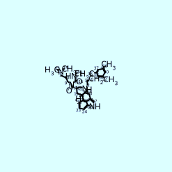 C=CCN1C[C@H](C(=O)N(CCCN(C)C)C(=O)NCC)C[C@@H]2c3cccc4[nH]cc(c34)C[C@H]21.Cc1cc(C)cc(C)c1